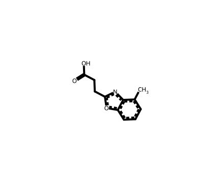 Cc1cccc2oc(CCC(=O)O)nc12